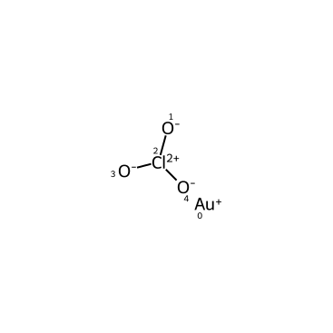 [Au+].[O-][Cl+2]([O-])[O-]